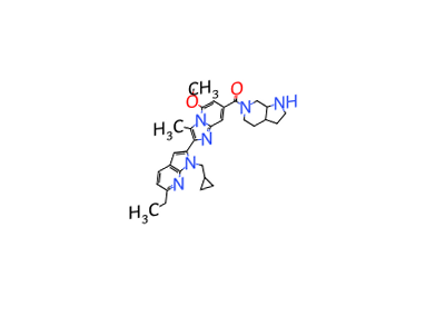 CCc1ccc2cc(-c3nc4cc(C(=O)N5CCC6CCNC6C5)cc(OC)n4c3C)n(CC3CC3)c2n1